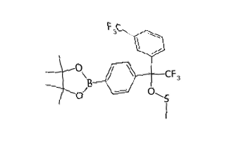 CC1(C)OB(c2ccc(C(OSI)(c3cccc(C(F)(F)F)c3)C(F)(F)F)cc2)OC1(C)C